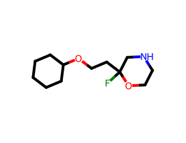 FC1(CCOC2CCCCC2)CNCCO1